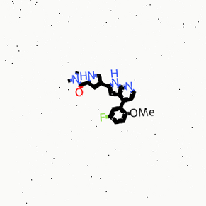 COc1ccc(F)cc1-c1ccnc2[nH]c(C3=CC(C(=O)N(C)C)NC3)cc12